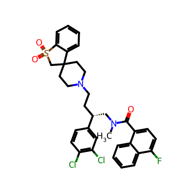 CN(C[C@@H](CCN1CCC2(CC1)CS(=O)(=O)c1ccccc12)c1ccc(Cl)c(Cl)c1)C(=O)c1ccc(F)c2ccccc12